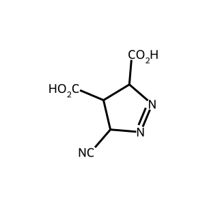 N#CC1N=NC(C(=O)O)C1C(=O)O